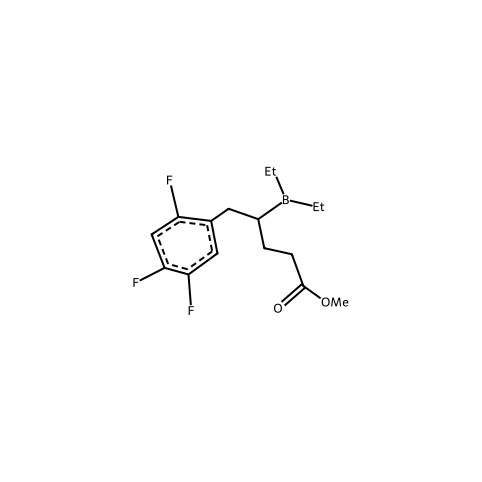 CCB(CC)C(CCC(=O)OC)Cc1cc(F)c(F)cc1F